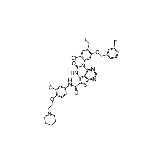 COc1cc(NC(=O)c2sc3ncnc4c3c2NC(=O)N4c2cc(OCc3cccc(F)c3)c(CI)cc2Cl)ccc1OCCN1CCCCC1